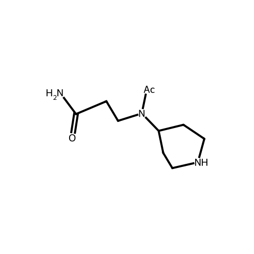 CC(=O)N(CCC(N)=O)C1CCNCC1